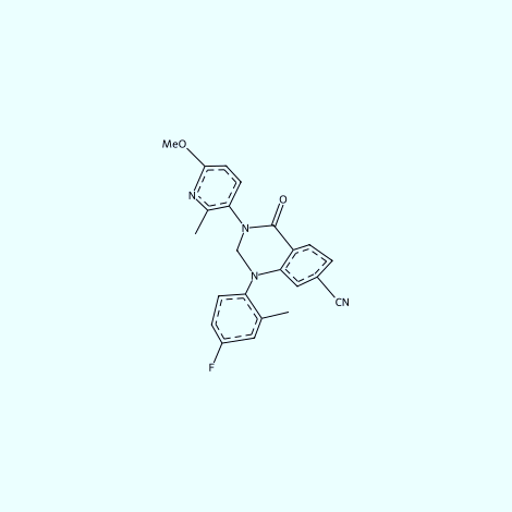 COc1ccc(N2CN(c3ccc(F)cc3C)c3cc(C#N)ccc3C2=O)c(C)n1